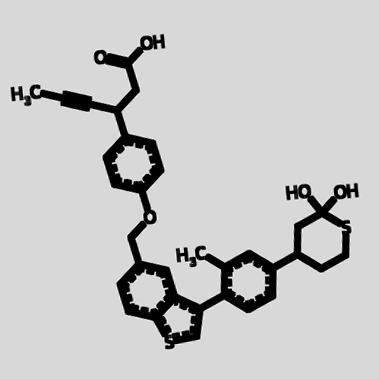 CC#CC(CC(=O)O)c1ccc(OCc2ccc3scc(-c4ccc(C5CCSC(O)(O)C5)cc4C)c3c2)cc1